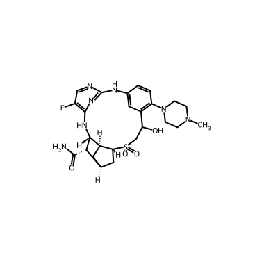 CN1CCN(c2ccc3cc2C(O)CS(=O)(=O)[C@@H]2C[C@@H]4C[C@H]2[C@@H](Nc2nc(ncc2F)N3)[C@H]4C(N)=O)CC1